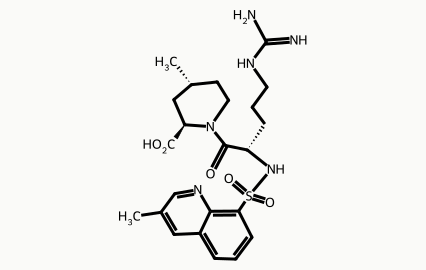 Cc1cnc2c(S(=O)(=O)N[C@@H](CCCNC(=N)N)C(=O)N3CC[C@@H](C)C[C@@H]3C(=O)O)cccc2c1